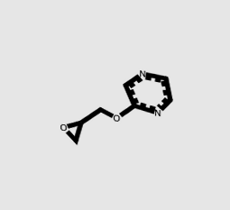 c1cnc(OCC2CO2)cn1